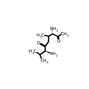 CC(=O)[C@@H](N)C(C)CC(=O)[C@@H](N)C(C)C